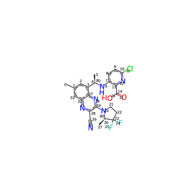 Cc1cc([C@@H](C)Nc2ccc(Cl)nc2C(=O)O)c2nc(N3CCC(F)(F)[C@H]3C)c(C#N)nc2c1